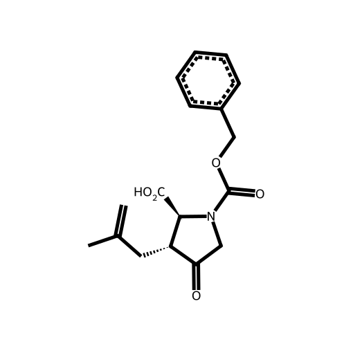 C=C(C)C[C@H]1C(=O)CN(C(=O)OCc2ccccc2)[C@@H]1C(=O)O